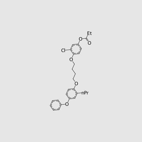 CCCc1cc(Oc2ccccc2)ccc1OCCCCOc1ccc(OC(=O)CC)cc1Cl